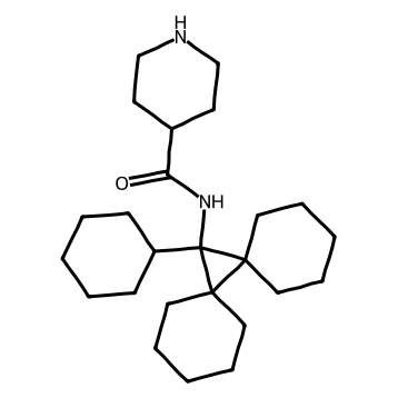 O=C(NC1(C2CCCCC2)C2(CCCCC2)C12CCCCC2)C1CCNCC1